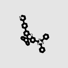 c1ccc(-c2nc(-c3ccccc3)nc(-c3ccc4c(c3)Oc3cc(-c5ccc(-c6cccnc6)cc5)ccc3C43c4ccccc4-c4ccccc43)n2)cc1